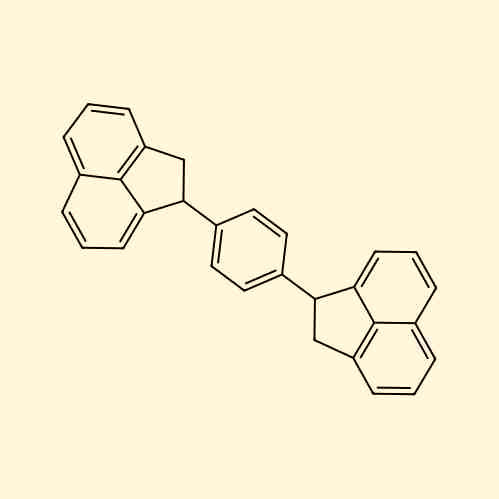 c1cc2c3c(cccc3c1)C(c1ccc(C3Cc4cccc5cccc3c45)cc1)C2